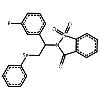 O=C1c2ccccc2S(=O)(=O)N1C(C[Se]c1ccccc1)c1cccc(F)c1